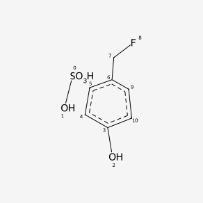 O=S(=O)(O)O.Oc1ccc(CF)cc1